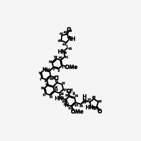 COc1cc(-c2nccc(-c3cccc4c3CCC[C@H]4Nc3nc(OC)c(CN[C@H]4CCC(=O)N4)cc3C(F)(F)F)c2Cl)ccc1CNC[C@@H]1CCC(=O)N1